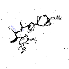 C=C(/C(F)=C\C=C(/C)c1cc(-c2cnc(OC)cn2)no1)[C@]1(C)CS(=O)(=NC)C(C)(C)C(N)=N1